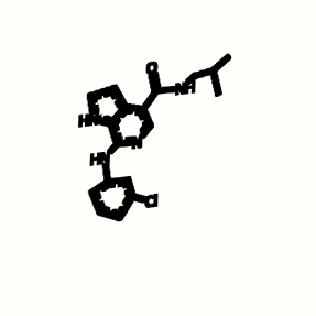 CC(C)CNC(=O)c1cnc(Nc2cccc(Cl)c2)c2[nH]ccc12